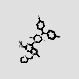 Cc1nc2c(N3C[C@@H](C)N(C(c4ccc(F)cc4)c4ccc(F)cc4)C[C@@H]3C)nc(NN)nc2n1CC1CCCO1